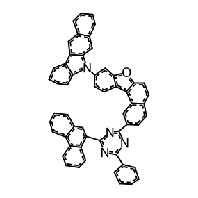 c1ccc(-c2nc(-c3ccc4ccc5oc6cc(-n7c8ccccc8c8cc9ccccc9cc87)ccc6c5c4c3)nc(-c3cc4ccccc4c4ccccc34)n2)cc1